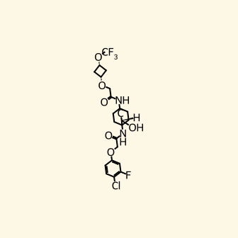 O=C(CO[C@H]1C[C@@H](OC(F)(F)F)C1)NC12CCC(NC(=O)COc3ccc(Cl)c(F)c3)(CC1)[C@@H](O)C2